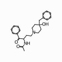 CC(=O)NC(CCN1CCC(O)(Cc2ccccc2)CC1)C(=O)c1ccccc1